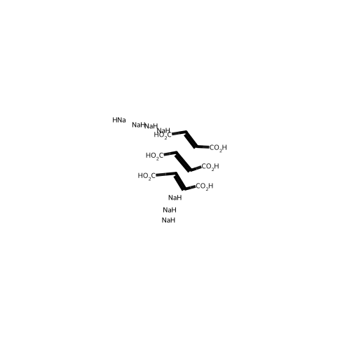 O=C(O)C=CC(=O)O.O=C(O)C=CC(=O)O.O=C(O)C=CC(=O)O.[NaH].[NaH].[NaH].[NaH].[NaH].[NaH].[NaH]